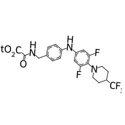 CCOC(=O)C(=O)NCc1ccc(Nc2cc(F)c(N3CCC(C(F)(F)F)CC3)c(F)c2)cc1